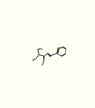 CC(C)N(C(=O)C=Cc1ccccc1)C(C)C